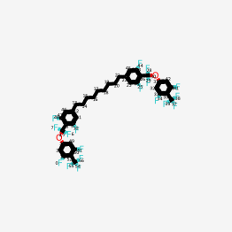 Fc1cc(OC(F)(F)c2c(F)cc(CCCCCCCCCc3cc(F)c(C(F)(F)Oc4cc(F)c(C(F)(F)F)c(F)c4)c(F)c3)cc2F)cc(F)c1C(F)(F)F